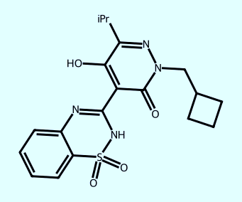 CC(C)c1nn(CC2CCC2)c(=O)c(C2=Nc3ccccc3S(=O)(=O)N2)c1O